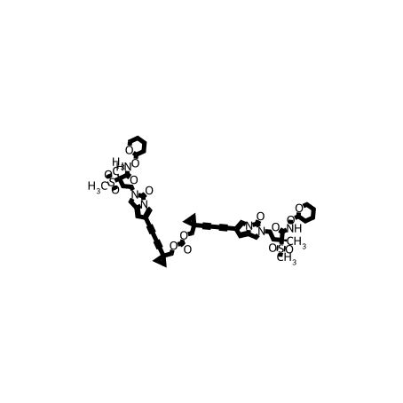 C[C@@](CCN1Cc2cc(C#CC#CC3(COC(=O)OCC4(C#CC#Cc5cc6n(c5)C(=O)N(CC[C@](C)(C(=O)NOC5CCCCO5)S(C)(=O)=O)C6)CC4)CC3)cn2C1=O)(C(=O)NOC1CCCCO1)S(C)(=O)=O